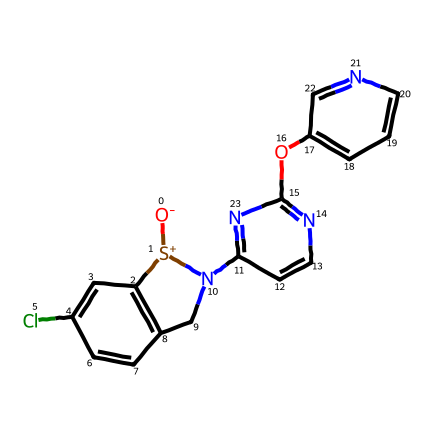 [O-][S+]1c2cc(Cl)ccc2CN1c1ccnc(Oc2cccnc2)n1